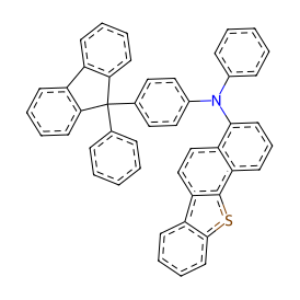 c1ccc(N(c2ccc(C3(c4ccccc4)c4ccccc4-c4ccccc43)cc2)c2cccc3c2ccc2c4ccccc4sc32)cc1